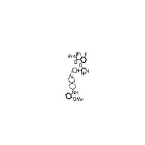 COc1ccccc1NC1CCC2(CC1)CCN(C[C@@H]1CCN(c3ncncc3Oc3ccc(F)cc3C(=O)N(C(C)C)C(C)C)C1)CC2